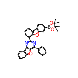 CC1(C)OB(c2ccc3c(c2)oc2c(-c4nc(-c5ccccc5)c5oc6ccccc6c5n4)cccc23)OC1(C)C